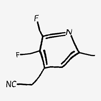 Cc1cc(CC#N)c(F)c(F)n1